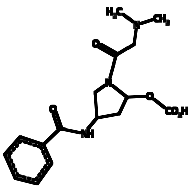 CN(C)CC(=O)N1CC(NC(=O)c2ccccc2)CC1OC(=O)O